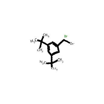 CC(C)(C)c1cc([CH2][Zn+])cc(C(C)(C)C)c1.[Br-]